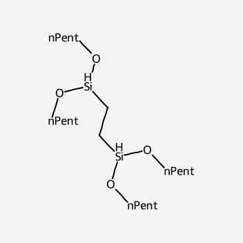 CCCCCO[SiH](CC[SiH](OCCCCC)OCCCCC)OCCCCC